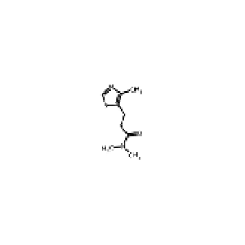 Cc1ncsc1CCC(=O)N(C)C